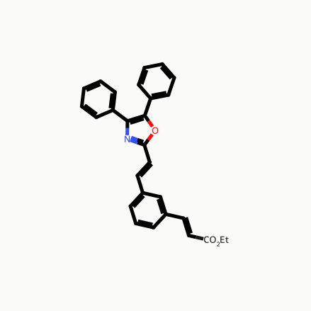 CCOC(=O)C=Cc1cccc(C=Cc2nc(-c3ccccc3)c(-c3ccccc3)o2)c1